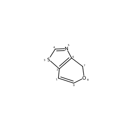 C1=Cc2scnc2CO1